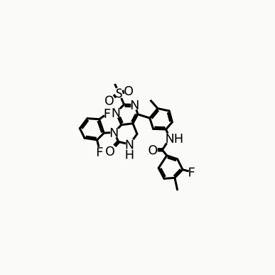 Cc1ccc(C(=O)Nc2ccc(C)c(-c3nc(S(C)(=O)=O)nc4c3CNC(=O)N4c3c(F)cccc3F)c2)cc1F